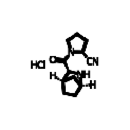 Cl.N#C[C@@H]1CCCN1C(=O)[C@H]1N[C@H]2CC[C@@H]1C2